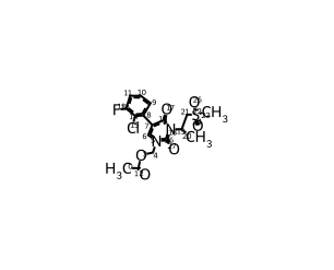 CC(=O)OCn1cc(-c2cccc(F)c2Cl)c(=O)n([C@H](C)CS(C)(=O)=O)c1=O